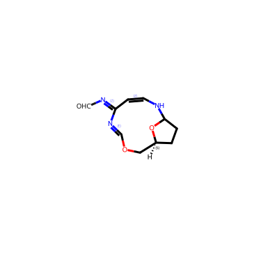 O=C/N=C1/C=C\NC2CC[C@@H](CO/C=N/1)O2